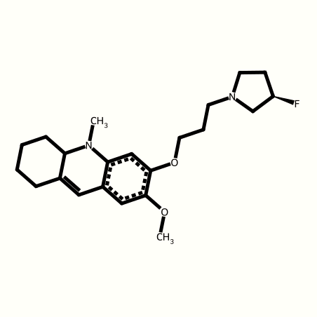 COc1cc2c(cc1OCCCN1CC[C@@H](F)C1)N(C)C1CCCCC1=C2